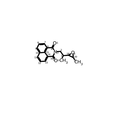 CC(CN1C(=O)c2cccc3cccc(c23)C1=O)C1OC1C